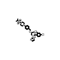 CC(C)S(=O)(=O)N1CCN(c2ccc(CO[C@H]3CO[C@](Cn4ccnc4)(c4ccc(Cl)cc4Cl)OC3)cc2)CC1